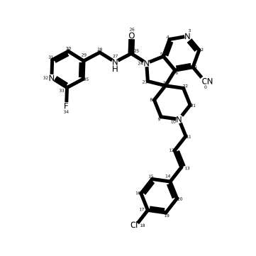 N#Cc1cncc2c1C1(CCN(C/C=C/c3ccc(Cl)cc3)CC1)CN2C(=O)NCc1ccnc(F)c1